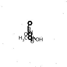 Cc1cc(=O)n(CCO)c2cnn(COCc3ccccc3)c(=O)c12